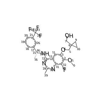 COc1c(OCC2(CO)CC2)cc2c(N[C@H](C)c3cccc(C(F)(F)F)c3)nc(C)nc2c1F